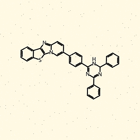 c1ccc(C2=NC(c3ccccc3)NC(c3ccc(-c4ccc5nc6c7ccccc7sc6n5c4)cc3)=N2)cc1